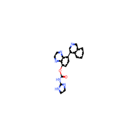 O=C(Nc1ncc[nH]1)Oc1ccc(-c2cncc3ccccc23)c2nccnc12